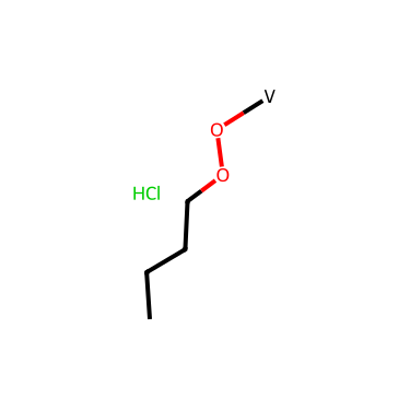 CCCCO[O][V].Cl